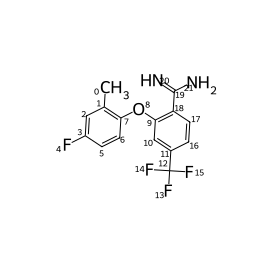 Cc1cc(F)ccc1Oc1cc(C(F)(F)F)ccc1C(=N)N